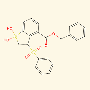 O=C(OCc1ccccc1)c1cccc2c1C(S(=O)(=O)c1ccccc1)CS2(O)O